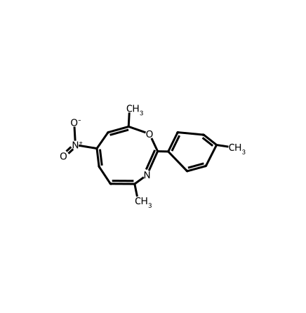 Cc1ccc(-c2nc(C)ccc([N+](=O)[O-])cc(C)o2)cc1